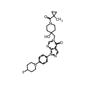 CC1(C(=O)N2CCC(O)(Cn3cnc4c(cnn4-c4ccc(N5CCC(F)CC5)cc4)c3=O)CC2)CC1